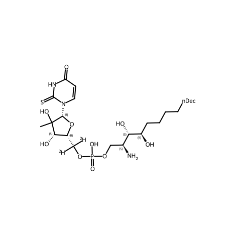 [2H]C([2H])(OP(=O)(O)OC[C@H](N)[C@H](O)[C@H](O)CCCCCCCCCCCCCC)[C@H]1O[C@@H](n2ccc(=O)[nH]c2=S)C(C)(O)[C@H]1O